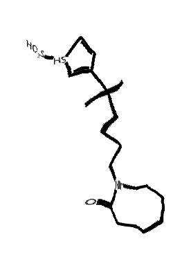 CC(C)(CCCCN1CCCCCC1=O)C1=C[SH](S(=O)(=O)O)C=C1